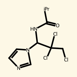 CC(C)C(=O)NC(n1ccnc1)C(Cl)(Cl)CCl